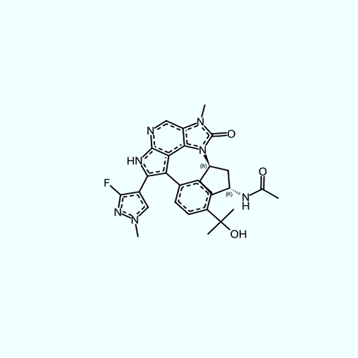 CC(=O)N[C@@H]1CC[C@@H](n2c(=O)n(C)c3cnc4[nH]c(-c5cn(C)nc5F)c(-c5ccc(C(C)(C)O)cc5)c4c32)C1